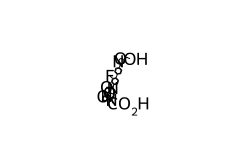 O=C1O[C@H](CN(C(=O)O)c2ccon2)CN1c1ccc(-c2ccc(C3=NOC(CO)C3)cc2)c(F)c1